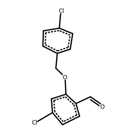 O=Cc1ccc(Cl)cc1OCc1ccc(Cl)cc1